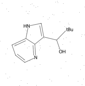 CC(C)(C)C(O)c1c[nH]c2cccnc12